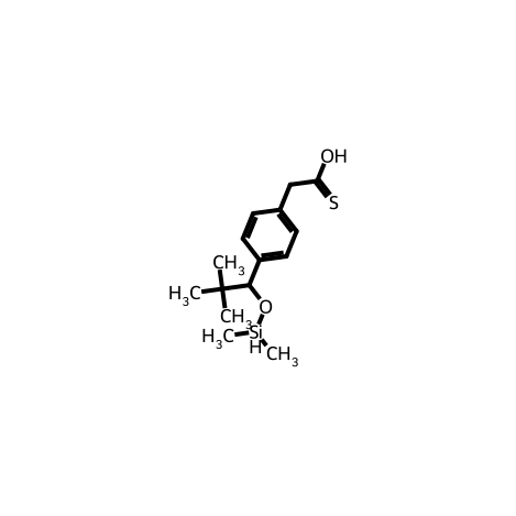 C[SiH](C)OC(c1ccc(CC(O)=S)cc1)C(C)(C)C